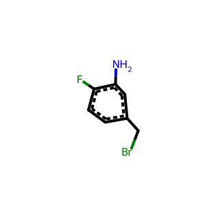 Nc1cc(CBr)ccc1F